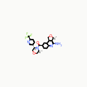 C[C@@H]1COC[C@H](c2ccc(C(F)(F)F)nc2)N1C(=O)c1ccc2nc(N)c3c(c2c1)CO[C@@H]3C